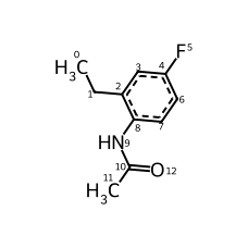 CCc1cc(F)ccc1NC(C)=O